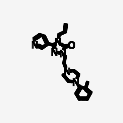 C=CCn1c(-c2cccnc2)nn(CCN2CCN(c3ccccc3C)CC2)c1=O